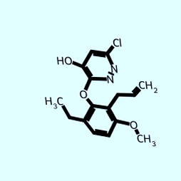 C=CCc1c(OC)ccc(CC)c1Oc1nnc(Cl)cc1O